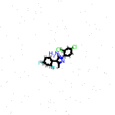 Cc1nn(-c2ccc(Cl)cc2Cl)c(N)c1-c1ccc(F)cc1F